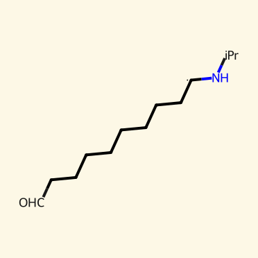 CC(C)N[CH]CCCCCCCCC=O